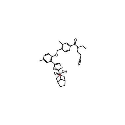 CCN(CCC#N)C(=O)c1ccc(COc2ccc(C)cc2-c2csc(N3CC4CCC(C3)C4C(=O)O)n2)c(C)c1